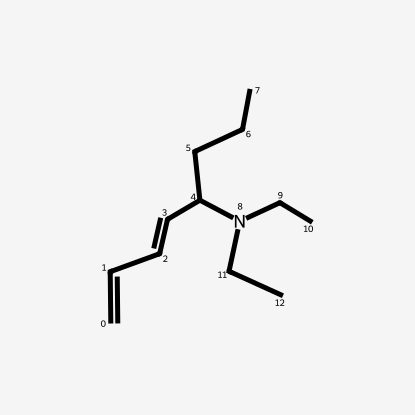 C=CC=CC(CCC)N(CC)CC